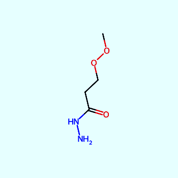 COOCCC(=O)NN